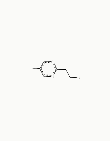 Cc1cnc(CCN)nc1